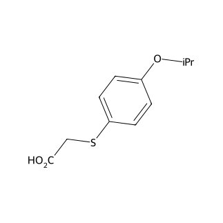 CC(C)Oc1ccc(SCC(=O)O)cc1